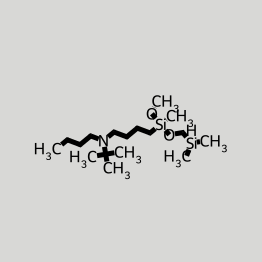 CCCCN(CCCC[Si](C)(OC)OC[SiH](C)C)C(C)(C)C